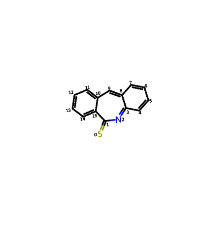 S=c1nc2ccccc2cc2ccccc12